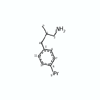 CC(CN)Cc1ccc(C(C)C)cc1